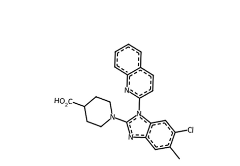 Cc1cc2nc(N3CCC(C(=O)O)CC3)n(-c3ccc4ccccc4n3)c2cc1Cl